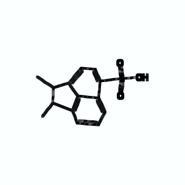 CC1c2cccc3c(S(=O)(=O)O)ccc(c23)C1C